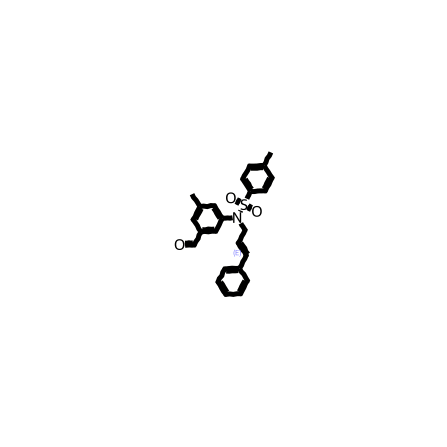 Cc1ccc(S(=O)(=O)N(C/C=C/c2ccccc2)c2cc(C)cc(C=O)c2)cc1